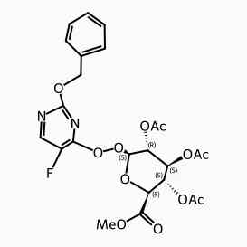 COC(=O)[C@H]1O[C@@H](OOc2nc(OCc3ccccc3)ncc2F)[C@H](OC(C)=O)[C@@H](OC(C)=O)[C@@H]1OC(C)=O